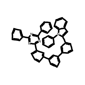 c1ccc(-c2nc(-c3ccccc3)nc(-c3cccc(-c4cccc(-c5cccc(-c6cc7ccccc7n6-c6ccccc6)c5)c4)c3)n2)cc1